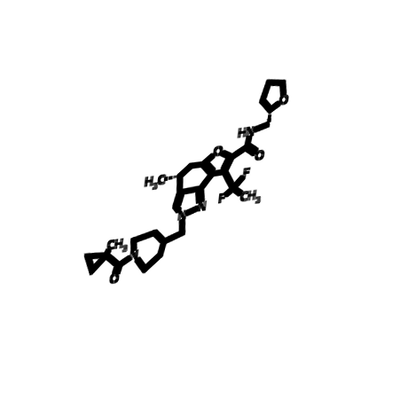 C[C@@H]1Cc2oc(C(=O)NC[C@@H]3CCCO3)c(C(C)(F)F)c2-c2nn(CC3CCN(C(=O)C4(C)CC4)CC3)cc21